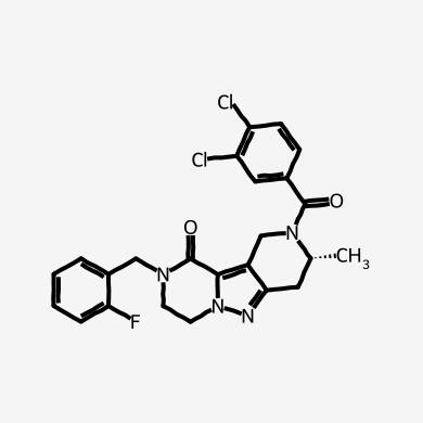 C[C@@H]1Cc2nn3c(c2CN1C(=O)c1ccc(Cl)c(Cl)c1)C(=O)N(Cc1ccccc1F)CC3